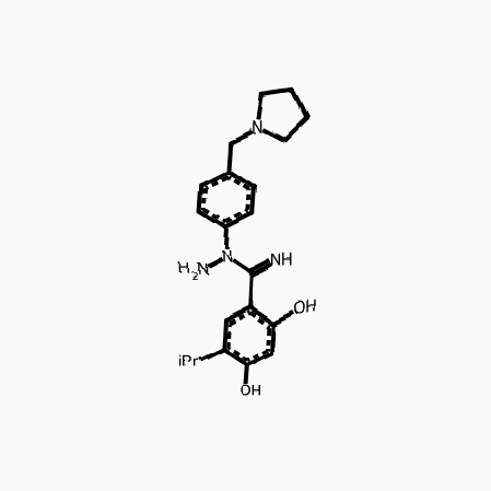 CC(C)c1cc(C(=N)N(N)c2ccc(CN3CCCC3)cc2)c(O)cc1O